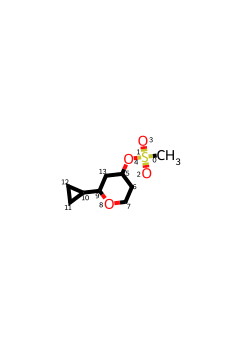 CS(=O)(=O)OC1CCOC(C2CC2)C1